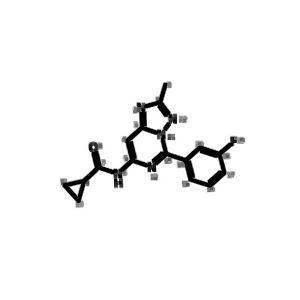 Cc1nc2cc(NC(=O)C3CC3)nc(-c3cccc(F)c3)n2n1